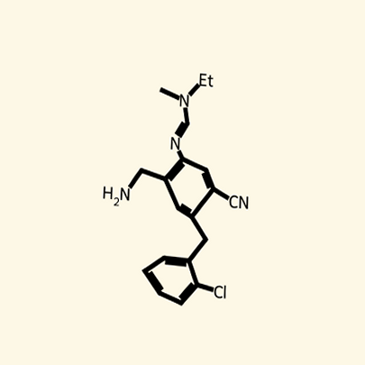 CCN(C)C=Nc1cc(C#N)c(Cc2ccccc2Cl)cc1CN